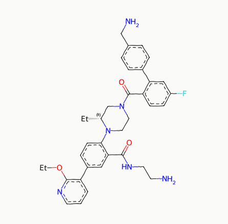 CCOc1ncccc1-c1ccc(N2CCN(C(=O)c3ccc(F)cc3-c3ccc(CN)cc3)C[C@H]2CC)c(C(=O)NCCN)c1